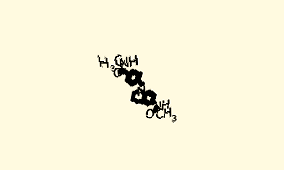 CNC(=O)c1ccc(CN2CCCc3cc(NC(C)=O)ccc32)cc1